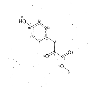 COC(=O)C(=O)Cc1ccc(O)cc1